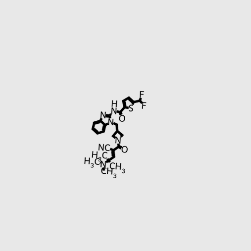 CN(C)C(C)(C)/C=C(\C#N)C(=O)N1CC(Cn2c(NC(=O)c3ccc(C(F)F)s3)nc3ccccc32)C1